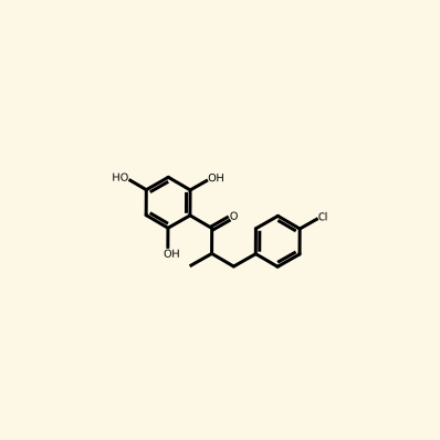 CC(Cc1ccc(Cl)cc1)C(=O)c1c(O)cc(O)cc1O